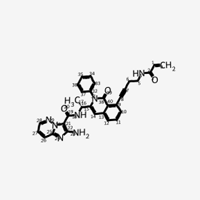 C=CC(=O)NCCC#Cc1cccc2cc([C@@H](C)NC(=O)c3c(N)nc4cccnn34)n(-c3ccccc3)c(=O)c12